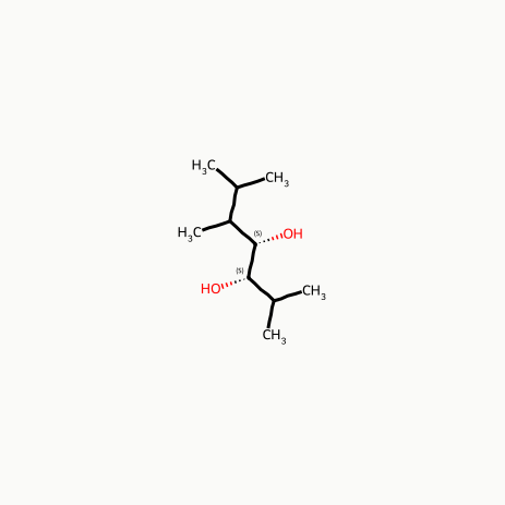 CC(C)C(C)[C@H](O)[C@@H](O)C(C)C